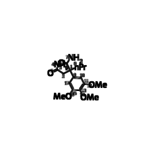 CCCC(CC(N)=O)(C(N)=O)c1cc(OC)c(OC)c(OC)c1